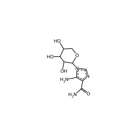 NC(=O)c1ncn(C2OCC(O)C(O)C2O)c1N